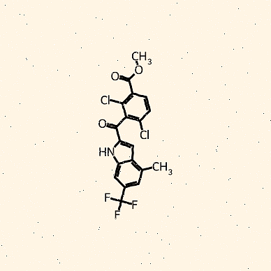 COC(=O)c1ccc(Cl)c(C(=O)c2cc3c(C)cc(C(F)(F)F)cc3[nH]2)c1Cl